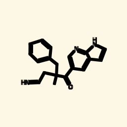 CC(CC=N)(Cc1ccccc1)C(=O)c1cnc2[nH]ccc2c1